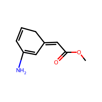 COC(=O)C=C1C=C(N)C=CC1